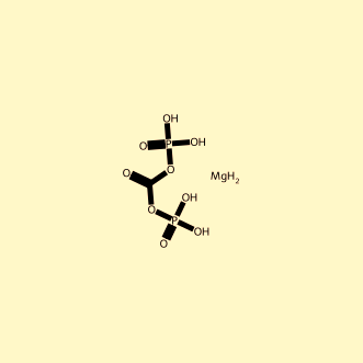 O=C(OP(=O)(O)O)OP(=O)(O)O.[MgH2]